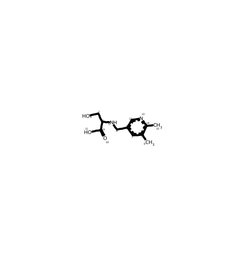 Cc1cc(CNC(CO)C(=O)O)cnc1C